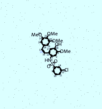 COc1cc(NS(=O)(=O)c2cccc(Cl)c2)c(/C=C\c2cc(OC)c(OC)c(OC)c2)cc1O